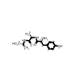 C[C@@H](NC(=O)[C@@H](C)NC(=O)[C@@H](N)Cc1ccc(O)cc1)C(=O)O